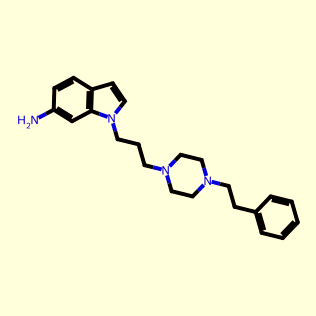 Nc1ccc2ccn(CCCN3CCN(CCc4ccccc4)CC3)c2c1